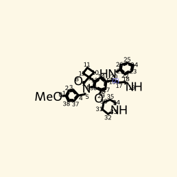 COc1ccc(CN2C(=O)C3(CCC3)c3cc(/C(=C/C=N)Nc4ccccc4)cc(OC4CCNCC4)c32)cc1